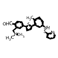 Cc1ccc(NSc2ccccn2)cc1-c1ccc(-c2ccc(C=O)c(CN(C)C)c2)s1